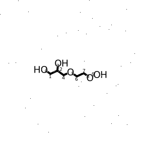 OCC(O)COCCOO